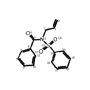 C=CCN(C(=O)c1ccccc1)S(=O)(=O)c1ccccc1